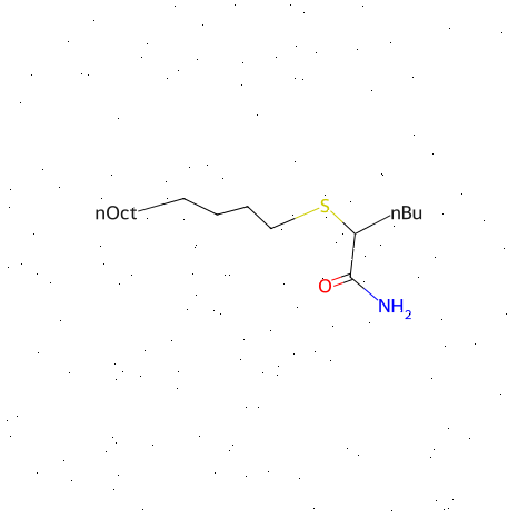 CCCCCCCCCCCCSC(CCCC)C(N)=O